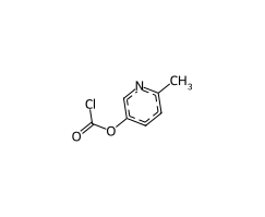 Cc1ccc(OC(=O)Cl)cn1